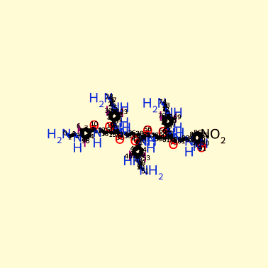 NCCNc1c(I)cc(C(=O)NCCCC[C@H](NC(=O)c2cc(I)c(NCCN)c(I)c2)C(=O)NCCCC[C@H](NC(=O)c2cc(I)c(NCCN)c(I)c2)C(=O)NCCCC[C@H](NC(=O)c2cc(I)c(NCCN)c(I)c2)C(=O)NCCNc2ccc([N+](=O)[O-])c3nonc23)cc1I